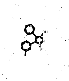 Cc1cccc(-c2c(-c3ccccc3)c(O)nn2C(C)C)c1